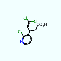 O=C(O)CC(C=C(Cl)Cl)c1cccnc1Cl